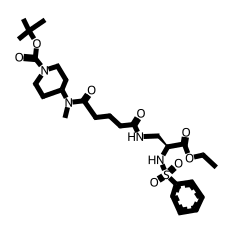 CCOC(=O)[C@H](CNC(=O)CCCC(=O)N(C)C1CCN(C(=O)OC(C)(C)C)CC1)NS(=O)(=O)c1ccccc1